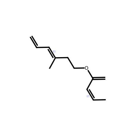 C=C/C=C(\C)CCOC(=C)/C=C\C